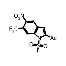 CC(=O)c1cc2cc([N+](=O)[O-])c(C(F)(F)F)cc2n1S(C)(=O)=O